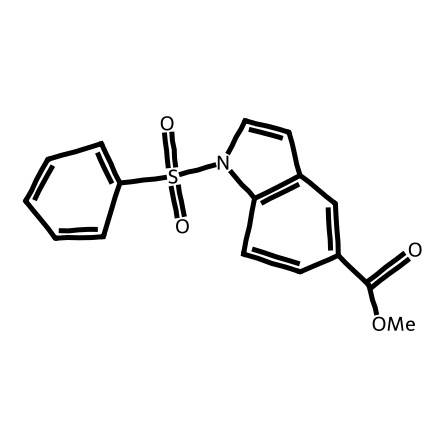 COC(=O)c1ccc2c(ccn2S(=O)(=O)c2ccccc2)c1